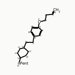 C=CCCOc1ccc(CCC2CCC(CCCCC)CC2)cc1